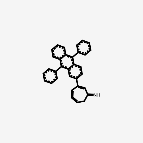 N=C1C=C(c2ccc3c(-c4ccccc4)c4ccccc4c(-c4ccccc4)c3c2)C=C=CC1